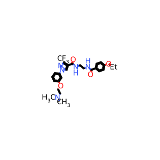 CCOc1ccc(C(=O)NCCNC(=O)c2cn(-c3cccc(OCCN(C)C)c3)nc2C(F)(F)F)cc1